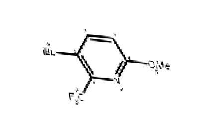 CCC(C)c1ccc(OC)nc1C(F)(F)F